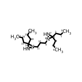 CCCC1(CCC)NN1CCCN1NC1(CCC)CCC